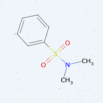 CN(C)S(=O)(=O)c1c[c]ccc1